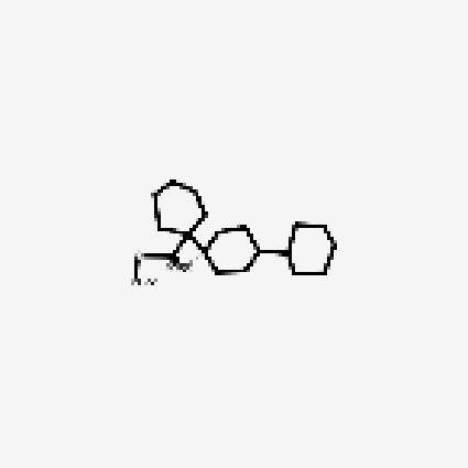 CCCCCCCCCCOC(=O)C1([C@]2(CCCCCC)CC[C@H](C3CCCCC3)CC2)CCCCC1